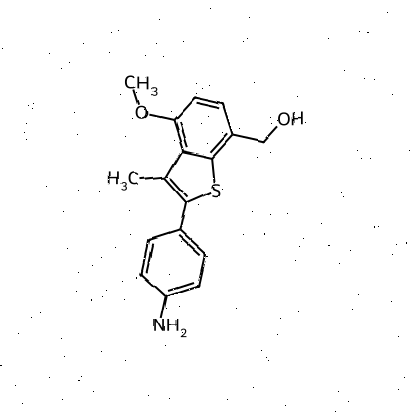 COc1ccc(CO)c2sc(-c3ccc(N)cc3)c(C)c12